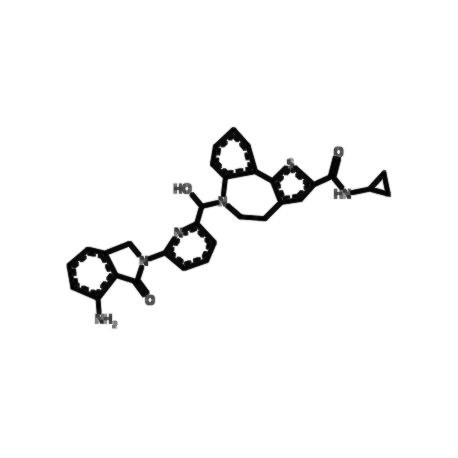 Nc1cccc2c1C(=O)N(c1cccc(C(O)N3CCc4cc(C(=O)NC5CC5)sc4-c4ccccc43)n1)C2